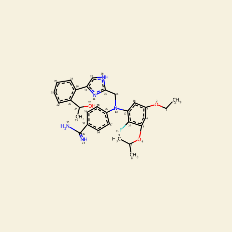 CCOc1cc(OC(C)C)c(F)c(N(Cc2nc(-c3ccccc3C(C)O)c[nH]2)c2ccc(C(=N)N)cc2)c1